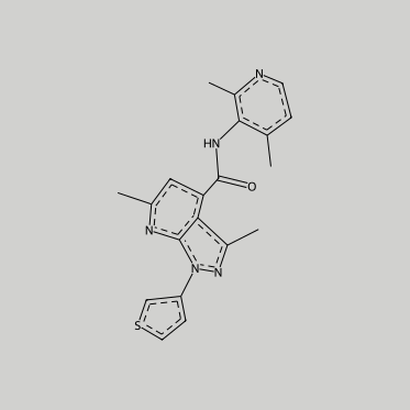 Cc1cc(C(=O)Nc2c(C)ccnc2C)c2c(C)nn(-c3ccsc3)c2n1